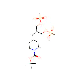 CC(C)(C)OC(=O)N1CCC(CC(COS(C)(=O)=O)COS(C)(=O)=O)CC1